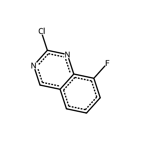 Fc1cccc2cnc(Cl)nc12